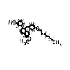 CCCCCCN=CCOc1ccc(Cc2c(-c3cccc(O)c3)ccc3cc(OC)ccc23)cc1